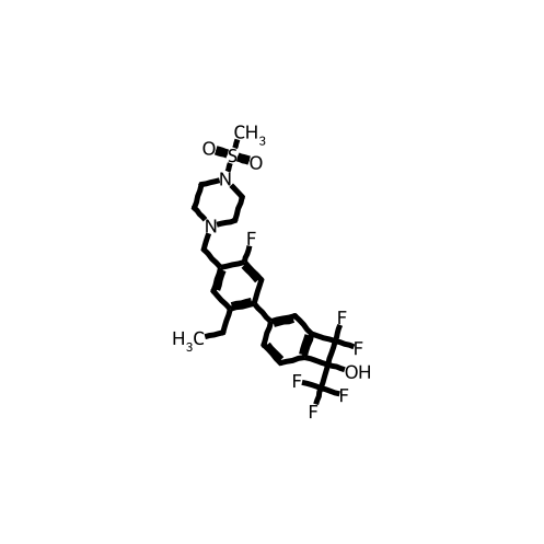 CCc1cc(CN2CCN(S(C)(=O)=O)CC2)c(F)cc1-c1ccc2c(c1)C(F)(F)C2(O)C(F)(F)F